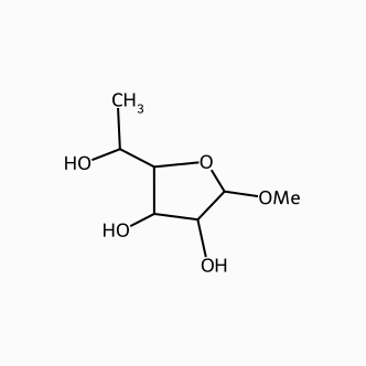 COC1OC(C(C)O)C(O)C1O